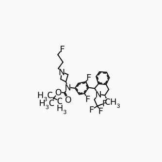 C[C@@H]1Cc2ccccc2C(c2c(F)cc(N(C(=O)OC(C)(C)C)C3CN(CCCF)C3)cc2F)N1CC(F)(F)F